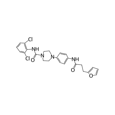 O=C(CCc1ccco1)Nc1ccc(N2CCN(C(=O)Nc3c(Cl)cccc3Cl)CC2)cc1